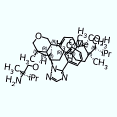 COc1cccc(-c2ncnn2[C@@H]2C[C@@]34COC[C@](C)([C@@H]3CC[C@H]3C4=CC[C@@]4(C)[C@H](C(=O)O)[C@@](C)([C@H](C)C(C)C)CC[C@]34C)[C@H]2OC[C@](C)(N)C(C)C)c1